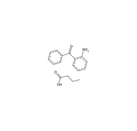 CCCC(=O)O.O=C(c1ccccc1)c1ccccc1[N+](=O)[O-]